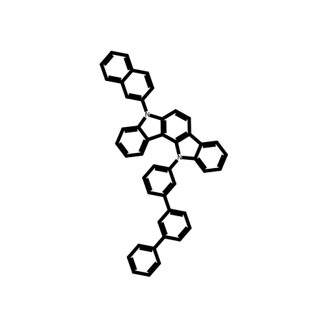 c1ccc(-c2cccc(-c3cccc(-n4c5ccccc5c5ccc6c(c7ccccc7n6-c6ccc7ccccc7c6)c54)c3)c2)cc1